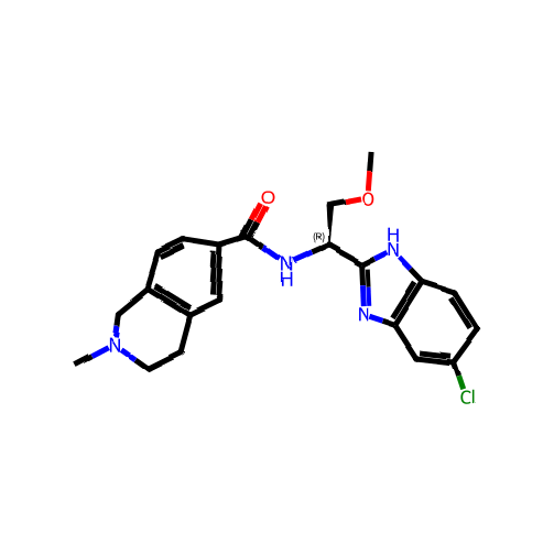 COC[C@H](NC(=O)c1ccc2c(c1)CCN(C)C2)c1nc2cc(Cl)ccc2[nH]1